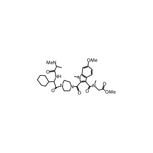 CNC(C)C(=O)NC(C(=O)N1CCN(C(=O)c2c(C(=O)N(C)CC(=O)OC)c3ccc(OC)cc3n2C)CC1)C1CCCCC1